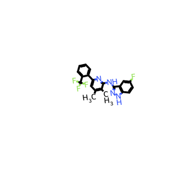 Cc1cc(-c2ccccc2C(F)(F)F)nc(Nc2n[nH]c3ccc(F)cc23)c1C